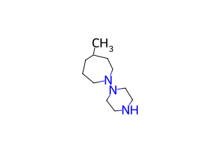 CC1CCCN(N2CCNCC2)CC1